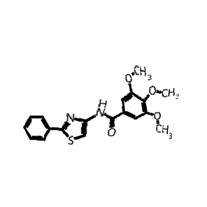 COc1cc(C(=O)Nc2csc(-c3ccccc3)n2)cc(OC)c1OC